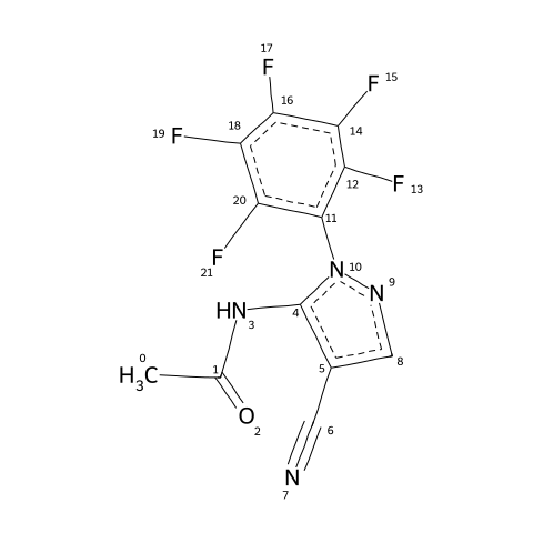 CC(=O)Nc1c(C#N)cnn1-c1c(F)c(F)c(F)c(F)c1F